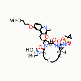 COCCCOc1ccc2nc(C)c3c(c2c1)CC[C@]1(C[C@H]2C(=O)N[C@]4(C(=O)NS(=O)(=O)C5(C)CC5)C[C@H]4/C=C\CCCCC[C@H](N(CC(C)(C)C)C(=O)O)C(=O)N2C1)O3